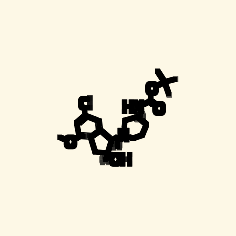 COc1cc(Cl)cc2c1C[C@@H](O)[C@@H]2N1CCC[C@@H](NC(=O)OC(C)(C)C)C1